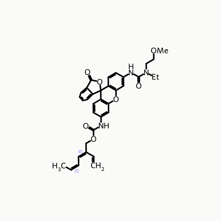 C=C/C(=C\C=C/C)COC(=O)Nc1ccc2c(c1)Oc1cc(NC(=O)N(CC)CCOC)ccc1C21OC(=O)c2ccccc21